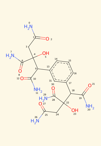 NC(=O)CC(O)(C(N)=O)C(C(N)=O)c1cccc(C(C(N)=O)C(O)(CC(N)=O)C(N)=O)c1